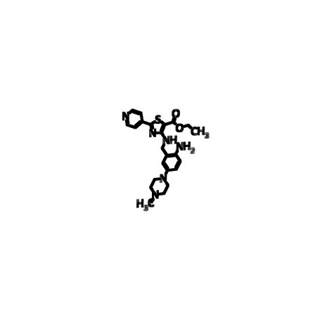 CCOC(=O)c1sc(-c2ccncc2)nc1NCc1cc(N2CCN(C)CC2)ccc1N